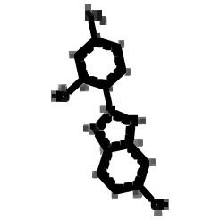 Nc1ccc(-n2nc3ccc(O)cc3n2)c(O)c1